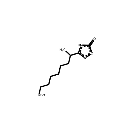 CCCCCCCCCCCCCCC(C)c1noc(=O)[nH]1